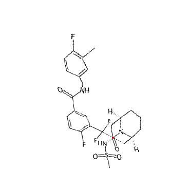 Cc1cc(NC(=O)c2ccc(F)c(C(F)(F)C(=O)N3[C@@H]4CCC[C@H]3C[C@H](NS(C)(=O)=O)C4)c2)ccc1F